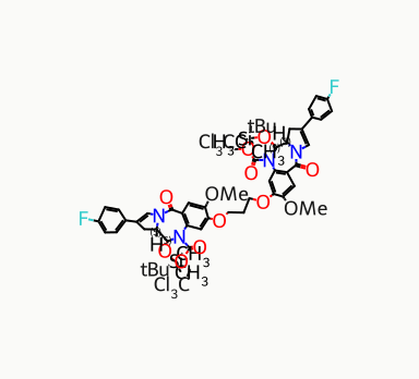 COc1cc2c(cc1OCCCOc1cc3c(cc1OC)C(=O)N1C=C(c4ccc(F)cc4)C[C@H]1[C@H](O[Si](C)(C)C(C)(C)C)N3C(=O)OCC(Cl)(Cl)Cl)N(C(=O)OCC(Cl)(Cl)Cl)[C@@H](O[Si](C)(C)C(C)(C)C)[C@@H]1CC(c3ccc(F)cc3)=CN1C2=O